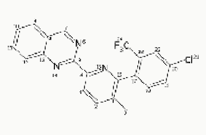 Cc1ccc(-c2ncc3ccccc3n2)nc1-c1ccc(Cl)cc1C(F)(F)F